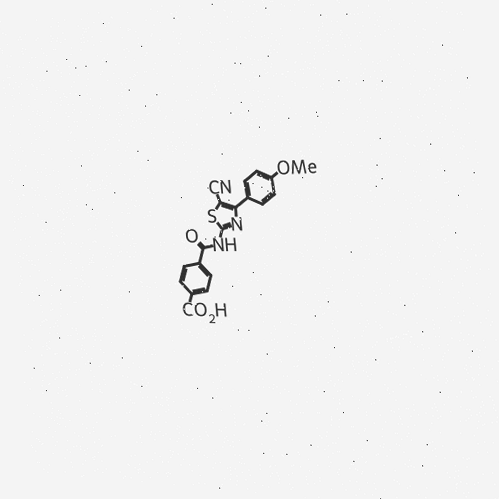 COc1ccc(-c2nc(NC(=O)c3ccc(C(=O)O)cc3)sc2C#N)cc1